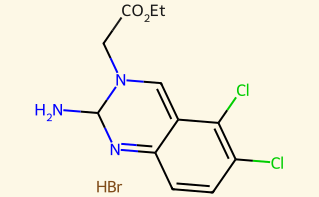 Br.CCOC(=O)CN1C=c2c(Cl)c(Cl)ccc2=NC1N